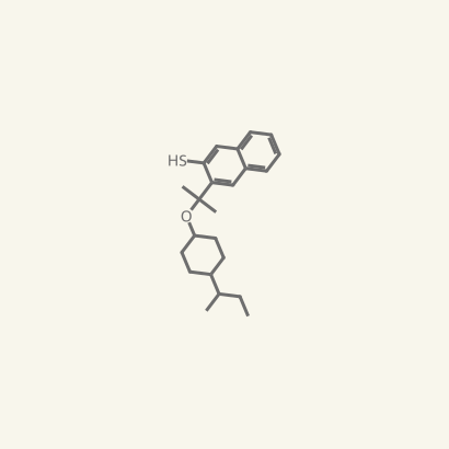 CCC(C)C1CCC(OC(C)(C)c2cc3ccccc3cc2S)CC1